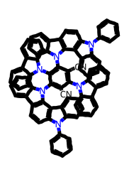 N#Cc1c(-n2c3ccccc3c3ccccc32)c(C#N)c(-n2c3ccccc3c3ccc4c(c5ccccc5n4-c4ccccc4)c32)c(-n2c3ccccc3c3ccccc32)c1-n1c2ccccc2c2ccc3c(c4ccccc4n3-c3ccccc3)c21